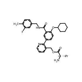 Cc1ccc(CNC(=O)c2cc(-c3ncccc3COC(=O)[C@@H](N)C(C)C)ccc2OC2CCCCC2)cc1F